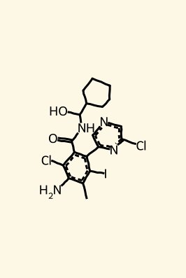 Cc1c(N)c(Cl)c(C(=O)NC(O)C2CCCCC2)c(-c2cncc(Cl)n2)c1I